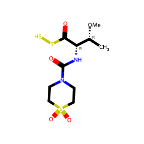 CO[C@H](C)[C@H](NC(=O)N1CCS(=O)(=O)CC1)C(=O)SS